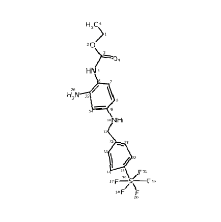 CCOC(=O)Nc1ccc(NCc2ccc(S(F)(F)(F)(F)F)cc2)cc1N